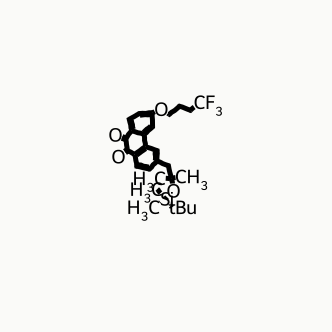 CC(C)(Cc1ccc2c(c1)-c1cc(OCCCC(F)(F)F)ccc1C(=O)C2=O)O[Si](C)(C)C(C)(C)C